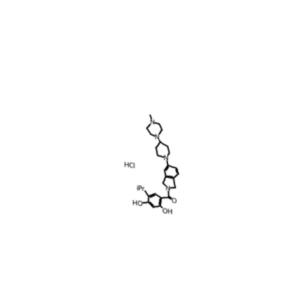 CC(C)c1cc(C(=O)N2Cc3ccc(N4CCC(N5CCN(C)CC5)CC4)cc3C2)c(O)cc1O.Cl